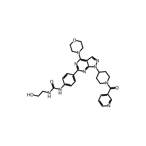 O=C(NCCO)Nc1ccc(-c2nc(N3CCOCC3)c3cnn(C4CCN(C(=O)c5cccnc5)CC4)c3n2)cc1